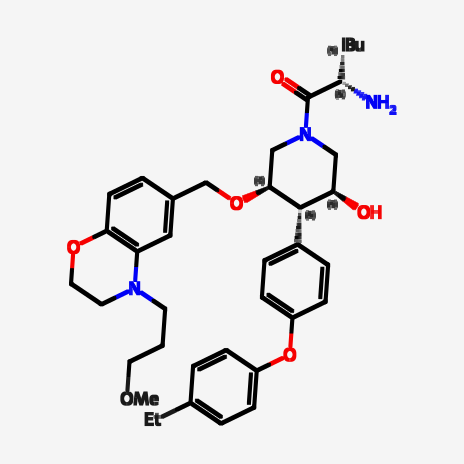 CCc1ccc(Oc2ccc([C@H]3[C@H](O)CN(C(=O)[C@@H](N)[C@@H](C)CC)C[C@@H]3OCc3ccc4c(c3)N(CCCOC)CCO4)cc2)cc1